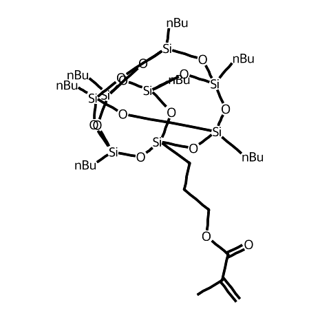 C=C(C)C(=O)OCCC[Si]12O[Si]3(CCCC)O[Si]4(CCCC)O[Si]5(CCCC)O[Si](CCCC)(O3)O[Si](CCCC)(O[Si](CCCC)(O5)O[Si](CCCC)(O4)O1)O2